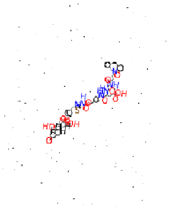 C[C@]12C=CC(=O)C=C1CC[C@@H]1[C@@H]2[C@@H](O)C[C@@]2(C)[C@H]1C[C@H]1O[C@@H](c3ccc(Cc4nc(NC(=O)OCc5ccc(NC(=O)[C@H](CCC(=O)O)NC(=O)CNC(=O)CCC(=O)N6Cc7ccccc7C#Cc7ccccc76)cc5)cs4)cc3)O[C@]12C(=O)CO